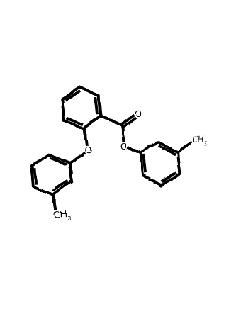 Cc1cccc(OC(=O)c2ccccc2Oc2cccc(C)c2)c1